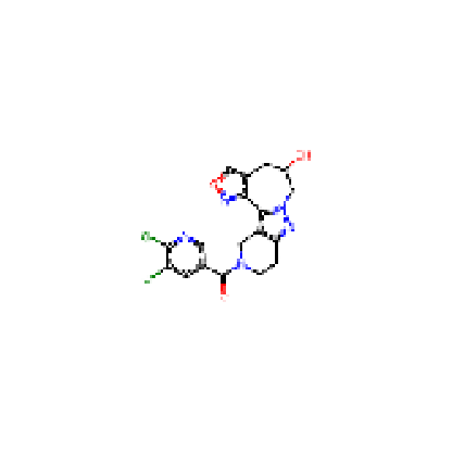 O=C(c1cnc(Cl)c(Cl)c1)N1CCc2nn3c(c2C1)-c1nocc1CC(O)C3